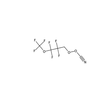 N#COOCC(F)(F)C(F)(F)OC(F)(F)F